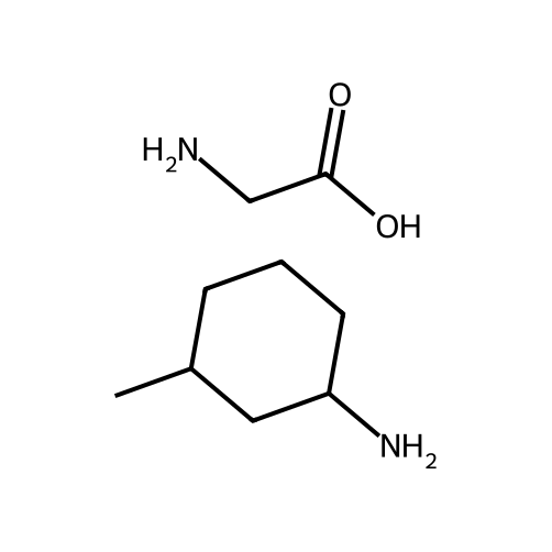 CC1CCCC(N)C1.NCC(=O)O